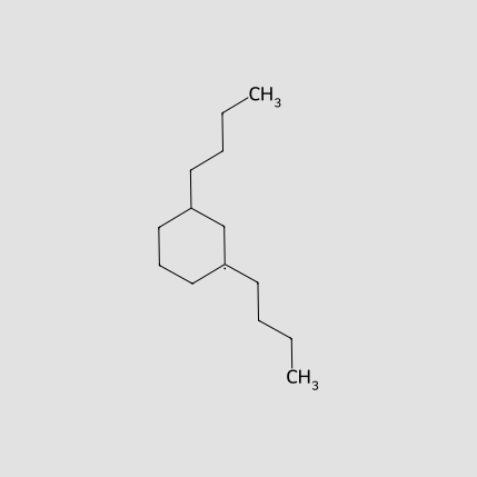 CCCC[C]1CCCC(CCCC)C1